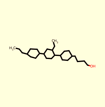 CCCC1CCC(C2CCC(C3CCC(CCCCO)CC3)C(CC)C2)CC1